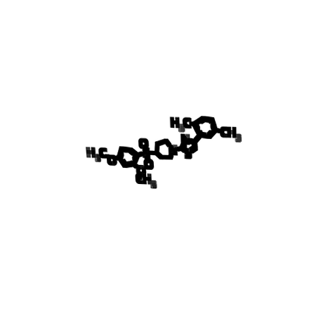 COc1ccc(S(=O)(=O)C2CCN(c3nc(-c4cc(C)ccc4C)cs3)CC2)c(OC)c1